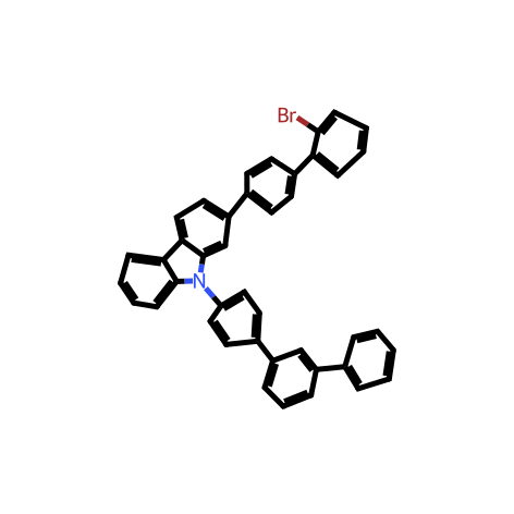 Brc1ccccc1-c1ccc(-c2ccc3c4ccccc4n(-c4ccc(-c5cccc(-c6ccccc6)c5)cc4)c3c2)cc1